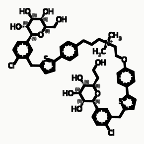 C[N+](C)(CCCc1ccc(-c2ccc(Cc3cc([C@@H]4O[C@H](CO)[C@@H](O)[C@H](O)[C@H]4O)ccc3Cl)s2)cc1)CCOc1ccc(-c2ccc(Cc3cc([C@@H]4O[C@H](CCO)[C@@H](O)[C@H](O)[C@H]4O)ccc3Cl)s2)cc1